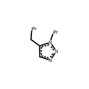 CC(C)Cc1cnnn1C(C)C